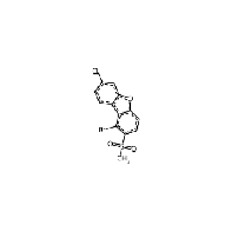 CS(=O)(=O)c1ccc2oc3cc(Cl)ccc3c2c1Br